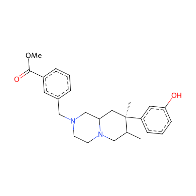 COC(=O)c1cccc(CN2CCN3CC(C)[C@](C)(c4cccc(O)c4)CC3C2)c1